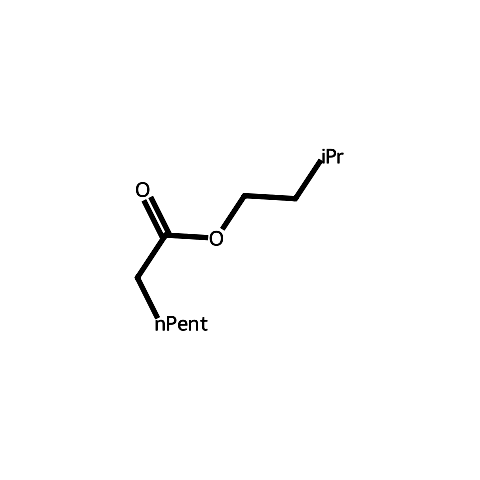 CCCCCCC(=O)OCCC(C)C